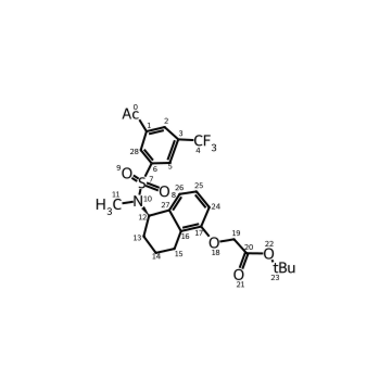 CC(=O)c1cc(C(F)(F)F)cc(S(=O)(=O)N(C)[C@@H]2CCCc3c(OCC(=O)OC(C)(C)C)cccc32)c1